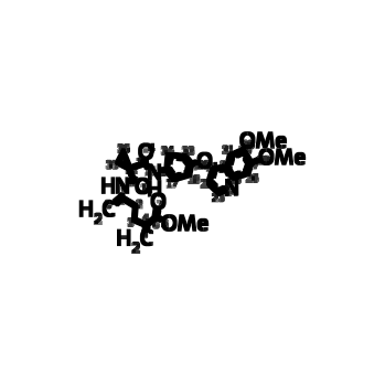 C=C(CCC(=C)C(=O)OC)NC(=O)C1(C(=O)Nc2ccc(Oc3ccnc4cc(OC)c(OC)cc34)cc2)CC1